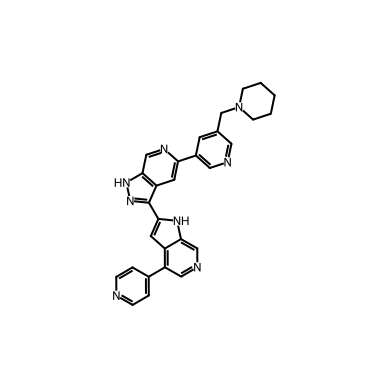 c1cc(-c2cncc3[nH]c(-c4n[nH]c5cnc(-c6cncc(CN7CCCCC7)c6)cc45)cc23)ccn1